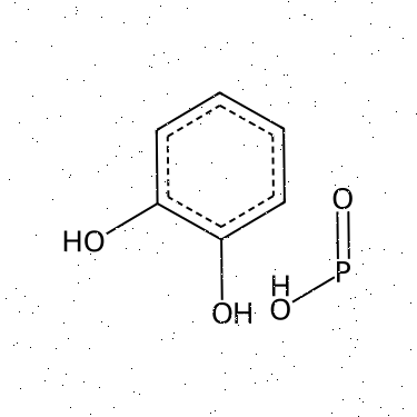 O=PO.Oc1ccccc1O